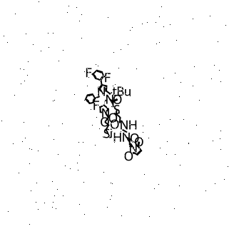 CC(C)(C)[C@H](c1cc(-c2cc(F)ccc2F)cn1Cc1ccccc1)N(C[C@@H]1CN(C(=O)OCC[Si](C)(C)C)C[C@@H]1F)C(=O)CSCCC(=O)NCCNC(=O)CN1C(=O)C=CC1=O